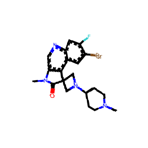 CN1CCC(N2CC3(C2)C(=O)N(C)c2cnc4cc(F)c(Br)cc4c23)CC1